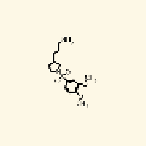 COc1ccc(S(=O)(=O)N2CCC(CCCN)C2)cc1OC